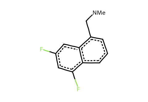 CNCc1cccc2c(F)cc(F)cc12